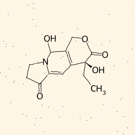 CC[C@@]1(O)C(=O)OCC2=C1C=C1C(=O)CCN1C2O